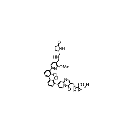 COc1nc(-c2cccc(-c3cccc(-c4ccn5c(=O)c(CNC6(C(=O)O)CC6)cnc5c4)c3Cl)c2Cl)ccc1CNC[C@@H]1CCC(=O)N1